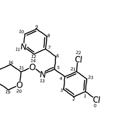 Clc1ccc(C(Cc2cccnc2)=NOC2CCCCO2)c(Cl)c1